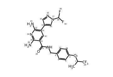 CC(Oc1ccc(CNC(=O)c2cc(-c3cnn(C(F)F)c3)c(N)nc2N)cc1)C(F)(F)F